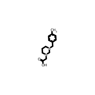 Cc1ccc(CN2CCCN(CC(=O)O)C2)cc1